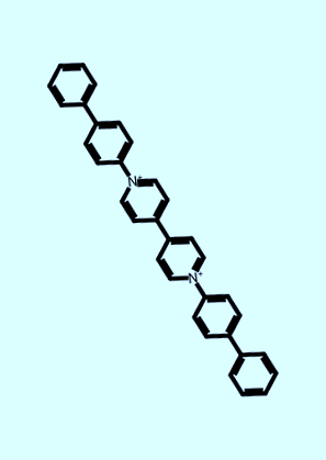 c1ccc(-c2ccc(-[n+]3ccc(-c4cc[n+](-c5ccc(-c6ccccc6)cc5)cc4)cc3)cc2)cc1